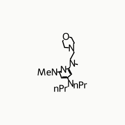 CCCN(CCC)c1cc(NC)nc(N(C)CCN2CCOCC2)c1